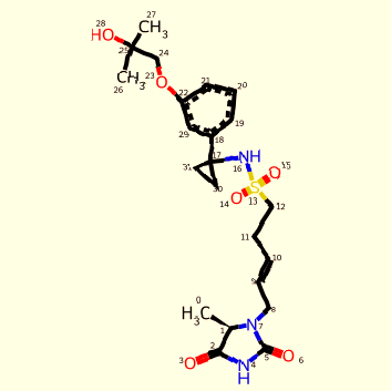 C[C@@H]1C(=O)NC(=O)N1C/C=C/CCS(=O)(=O)NC1(c2cccc(OCC(C)(C)O)c2)CC1